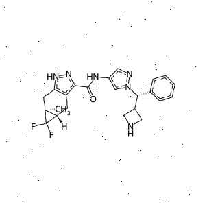 C[C@]12Cc3[nH]nc(C(=O)Nc4cnn([C@H](c5ccccc5)C5CNC5)c4)c3C[C@@H]1C2(F)F